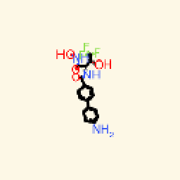 Nc1ccc(-c2ccc(C(=O)N[C@H](C(=O)NO)[C@H](O)C(F)(F)F)cc2)cc1